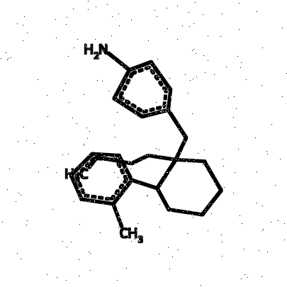 CCCCC1(Cc2ccc(N)cc2)CCCCC1c1ccccc1C